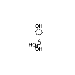 Oc1ccc(CCON(O)O)cc1